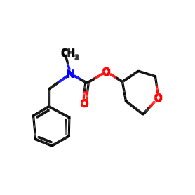 CN(Cc1ccccc1)C(=O)OC1CCOCC1